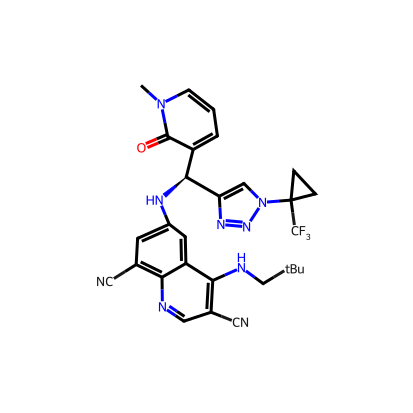 Cn1cccc([C@H](Nc2cc(C#N)c3ncc(C#N)c(NCC(C)(C)C)c3c2)c2cn(C3(C(F)(F)F)CC3)nn2)c1=O